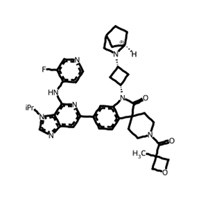 CC(C)n1cnc2cc(-c3ccc4c(c3)N([C@H]3C[C@@H](N5CC6CC[C@@H]5C6)C3)C(=O)C43CCN(C(=O)C4(C)COC4)CC3)nc(Nc3ccncc3F)c21